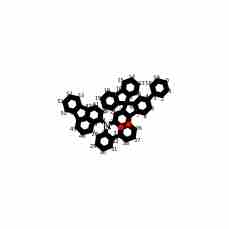 c1ccc(-c2ccc3c(c2)C2(c4ccccc4-c4ccccc42)c2cc(N(c4ccccc4-c4ccccc4)c4ccc5c6c(cccc46)-c4ccccc4-5)ccc2-3)cc1